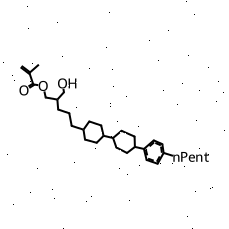 C=C(C)C(=O)OCC(CO)CCCC1CCC(C2CCC(c3ccc(CCCCC)cc3)CC2)CC1